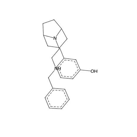 Oc1cccc(C2CC3CCC(C2)N3CCNCc2ccccc2)c1